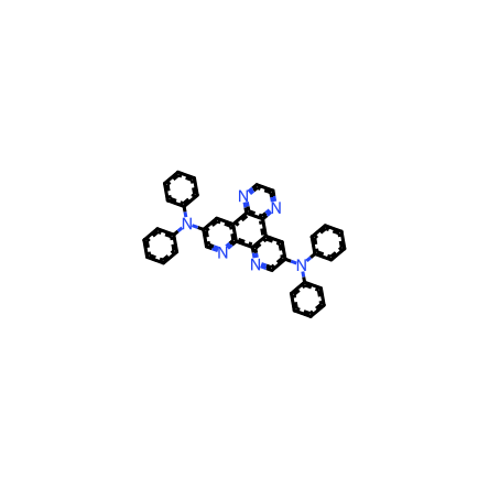 c1ccc(N(c2ccccc2)c2cnc3c(c2)c2nccnc2c2cc(N(c4ccccc4)c4ccccc4)cnc23)cc1